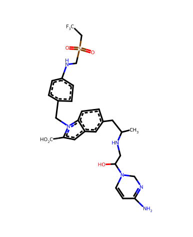 CC(Cc1ccc2c(c1)cc(C(=O)O)n2Cc1ccc(NCS(=O)(=O)CC(F)(F)F)cc1)NCC(O)N1C=CC(N)=NC1